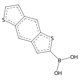 OB(O)c1cc2cc3sccc3cc2s1